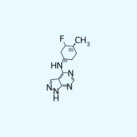 C[C@H]1CC[C@H](Nc2ncnc3[nH]ncc23)CC1F